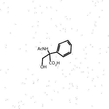 CC(=O)NC(CO)(C(=O)O)c1ccccc1